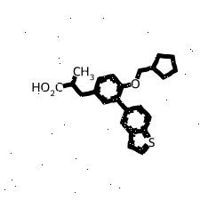 CC(Cc1ccc(OCC2CCCC2)c(-c2ccc3sccc3c2)c1)C(=O)O